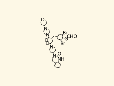 O=COc1c(Br)cc(C[C@@H](CC(=O)N2CCC(N3CCc4ccccc4NC3=O)CC2)C(=O)N2CCN(C3CCOCC3)CC2)cc1Br